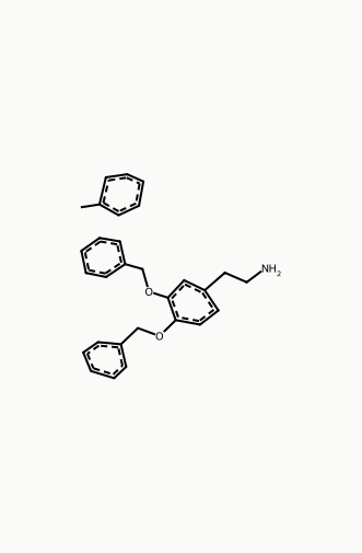 Cc1ccccc1.NCCc1ccc(OCc2ccccc2)c(OCc2ccccc2)c1